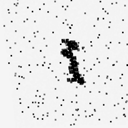 COc1cc(NC(=O)Nc2cccc(CNC(=O)OC(CCN(CC(C)C)C(C)C)c3ccccc3)c2)ccc1-c1cnco1